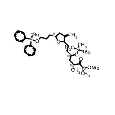 C=C1C[C@H](CCCO[Si](c2ccccc2)(c2ccccc2)C(C)(C)C)OC1CC[C@H](C[C@@H](C)C(=O)N(C)OC)O[Si](C)(C)C(C)(C)C